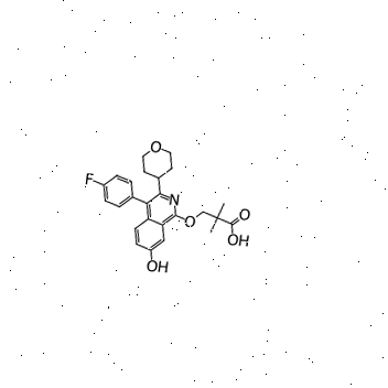 CC(C)(COc1nc(C2CCOCC2)c(-c2ccc(F)cc2)c2ccc(O)cc12)C(=O)O